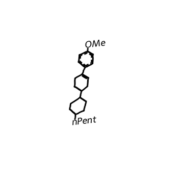 CCCCCC1CCC(C2CC=C(c3ccc(OC)cc3)CC2)CC1